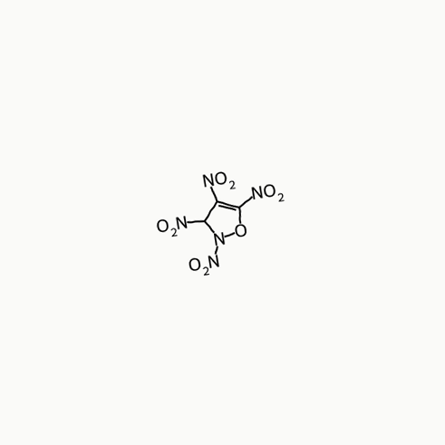 O=[N+]([O-])C1=C([N+](=O)[O-])C([N+](=O)[O-])N([N+](=O)[O-])O1